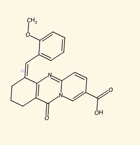 COc1ccccc1/C=C1/CCCc2c1nc1ccc(C(=O)O)cn1c2=O